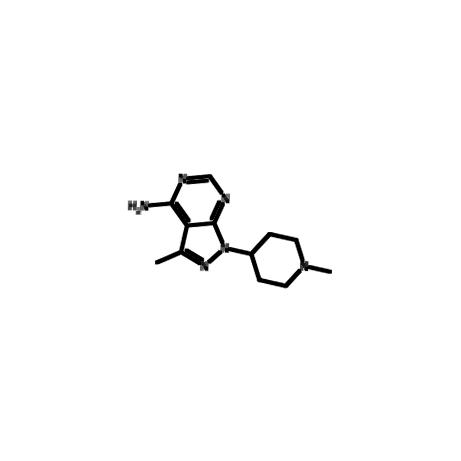 Cc1nn(C2CCN(C)CC2)c2ncnc(N)c12